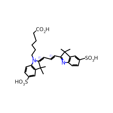 CC1(C)C(/C=C/C=C2/N(CCCCCC(=O)O)c3ccc(S(=O)(=O)O)cc3C2(C)C)=Nc2ccc(S(=O)(=O)O)cc21